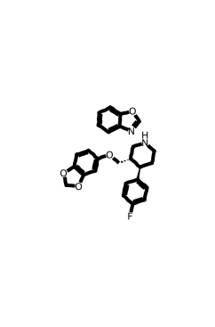 Fc1ccc([C@@H]2CCNC[C@H]2COc2ccc3c(c2)OCO3)cc1.c1ccc2ocnc2c1